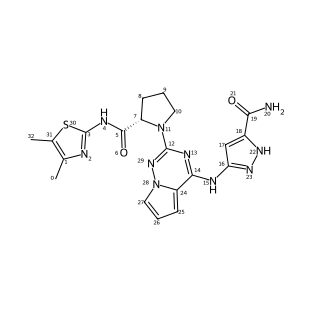 Cc1nc(NC(=O)[C@@H]2CCCN2c2nc(Nc3cc(C(N)=O)[nH]n3)c3cccn3n2)sc1C